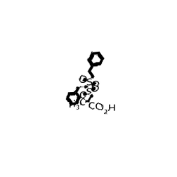 C[C@H](CS(=O)(=O)[C@H](Cc1ccccc1)S(=O)(=O)CCc1ccccc1)C(=O)O